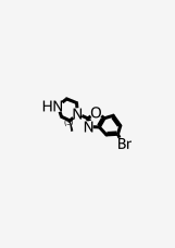 C[C@H]1CNCCN1c1nc2cc(Br)ccc2o1